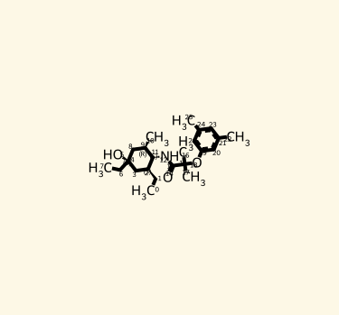 CC[C@H]1C[C@](O)(CC)C[C@@H](C)[C@@H]1NC(=O)C(C)(C)Oc1cc(C)cc(C)c1